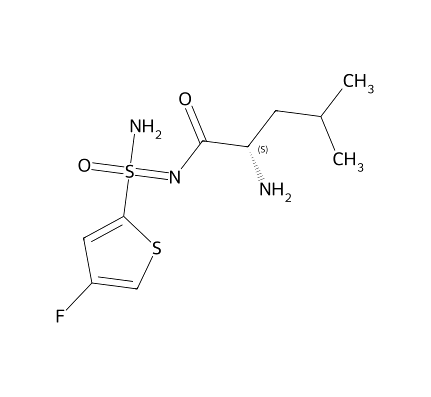 CC(C)C[C@H](N)C(=O)N=S(N)(=O)c1cc(F)cs1